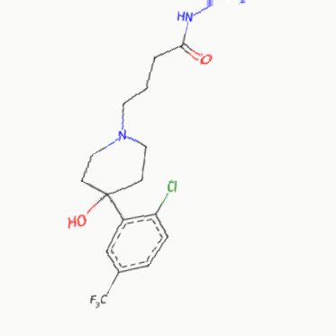 NNC(=O)CCCN1CCC(O)(c2cc(C(F)(F)F)ccc2Cl)CC1